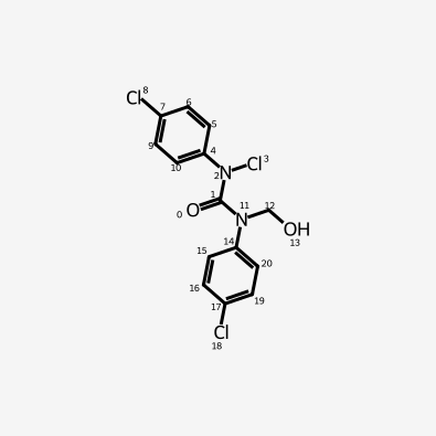 O=C(N(Cl)c1ccc(Cl)cc1)N(CO)c1ccc(Cl)cc1